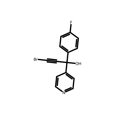 OC(C#CBr)(c1ccncc1)c1ccc(F)cc1